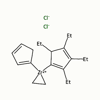 CCC1=C(CC)C(CC)[C]([Zr+2]2([C]3=CC=CC3)[CH2][CH2]2)=C1CC.[Cl-].[Cl-]